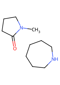 C1CCCNCC1.CN1CCCC1=O